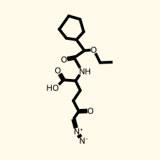 CCOC(C(=O)NC(CCC(=O)C=[N+]=[N-])C(=O)O)C1CCCCC1